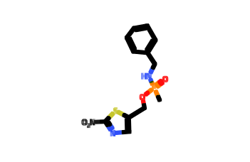 CP(=O)(NCc1ccccc1)OCc1cnc([N+](=O)[O-])s1